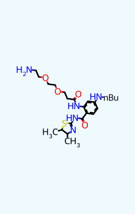 CCCCNc1ccc(C(=O)NC2=NC(C)C(C)S2)c(NC(=O)CCOCCOCCN)c1